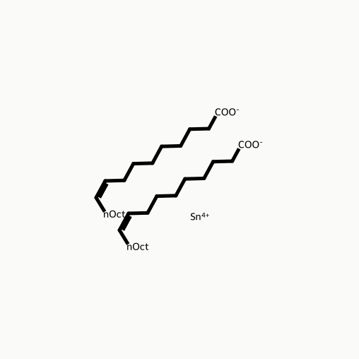 CCCCCCCC/C=C\CCCCCCCC(=O)[O-].CCCCCCCC/C=C\CCCCCCCC(=O)[O-].[Sn+4]